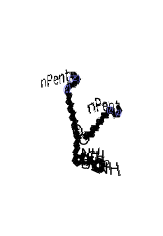 C=C(OC1CCC(CCCC(COCCCCCCCC/C=C\C/C=C\CCCCC)OCCCCCCCC/C=C\C/C=C\CCCCC)C1N)C1CCNCC1